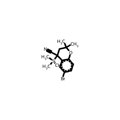 CC1(C)CC(C#N)([Si](C)(C)C)c2cc(Br)ccc2O1